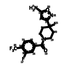 Nc1cc(C2(F)CCN(C(=O)c3ccc(C(F)(F)F)c(F)c3)CC2)no1